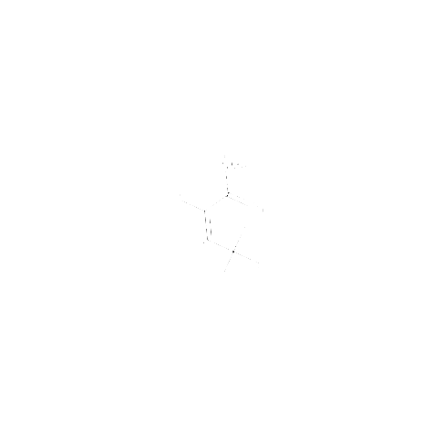 CCC(C)(C)/C=C(/C)C(=O)NC